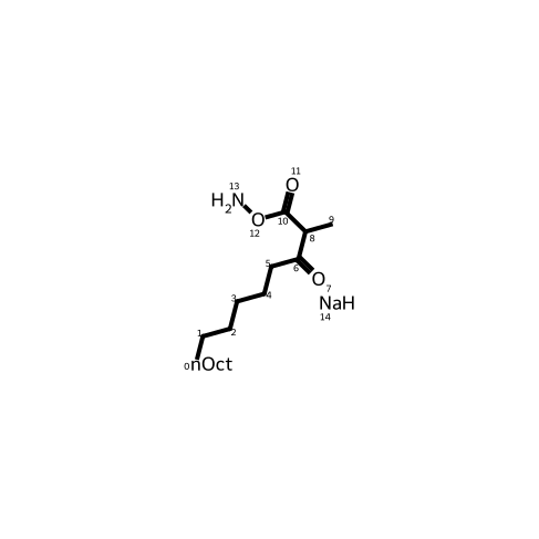 CCCCCCCCCCCCCC(=O)C(C)C(=O)ON.[NaH]